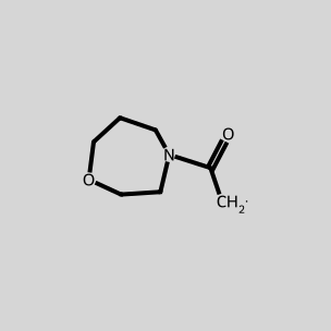 [CH2]C(=O)N1CCCOCC1